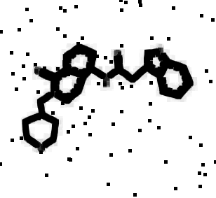 O=C(Cc1csc2ccccc12)Nc1cccc2c(=O)n(CC3CCOCC3)ccc12